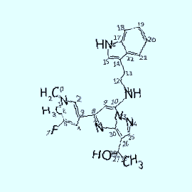 C=N/C=C(\C=C(/C)F)c1cc(NCCc2c[nH]c3ccccc23)n2ncc(C(C)O)c2n1